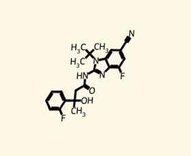 CC(O)(CC(=O)Nc1nc2c(F)cc(C#N)cc2n1C(C)(C)C)c1ccccc1F